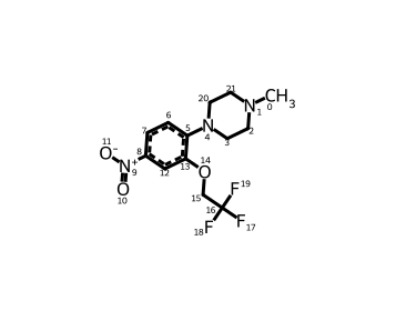 CN1CCN(c2ccc([N+](=O)[O-])cc2OCC(F)(F)F)CC1